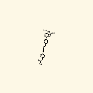 CC(C)(O)C(NC(=O)c1ccc(/C=C/C#Cc2ccc(CNC3CC3)cc2)cc1)C(=O)NO